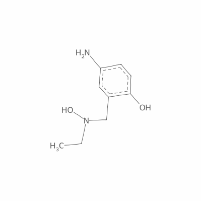 CCN(O)Cc1cc(N)ccc1O